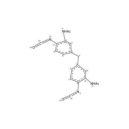 CC(=O)Nc1cc(Cc2ccc(N=C=O)c(NC(C)=O)c2)ccc1N=C=O